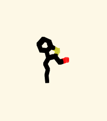 CCCCc1c(C=O)sc2ccccc12